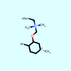 CCCCCCCCCC[N+](C)(C)COC1C[C@H](C)CCC1C(C)C